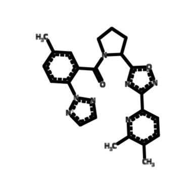 Cc1ccc(-n2nccn2)c(C(=O)N2CCCC2c2nc(-c3ccc(C)c(C)n3)no2)c1